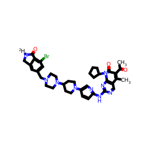 [2H]N1Cc2cc(CN3CCN(C4CCN(c5ccc(Nc6ncc7c(C)c(C(C)=O)c(=O)n(C8CCCC8)c7n6)nc5)CC4)CC3)cc(Br)c2C1=O